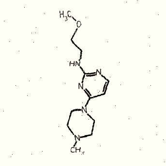 COCCNc1nccc(N2CCN(C)CC2)n1